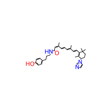 CC1=C(/C=C/C(C)=C/C=C/C(C)=C\C(=O)NCCCc2ccc(O)cc2)C(C)(C)CCC1n1ccnc1